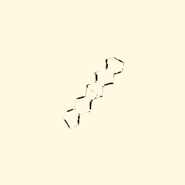 CC1SC2c3cc4ccccc4cc3C1c1cc3ccccc3cc12